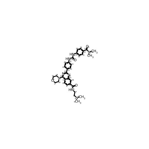 CN(C)CCNC(=O)c1ccc2c(N3CCOCC3)nc(-c3ccc(NC(=O)Nc4ccc(C(=O)N(C)C)cc4)cc3)nc2c1